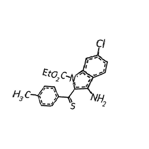 CCOC(=O)n1c(C(=S)c2ccc(C)cc2)c(N)c2ccc(Cl)cc21